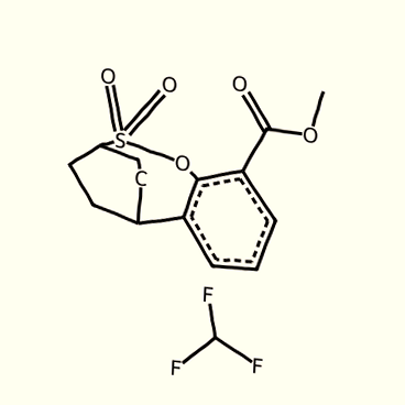 COC(=O)c1cccc2c1OS(=O)(=O)C1CCC2CC1.FC(F)F